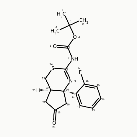 CC(C)(C)OC(=O)NC1=N[C@@]2(c3ccccc3F)CC(=O)C[C@H]2CS1